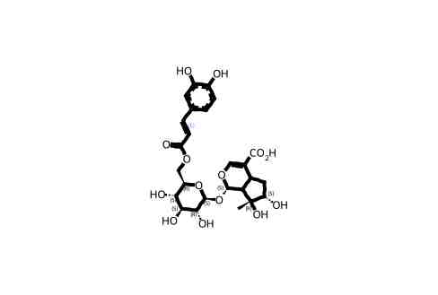 C[C@@]1(O)C2C(C[C@@H]1O)C(C(=O)O)=CO[C@H]2O[C@@H]1O[C@H](COC(=O)/C=C/c2ccc(O)c(O)c2)[C@@H](O)[C@H](O)[C@H]1O